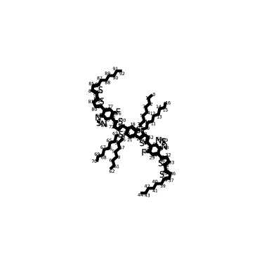 CCCCCCCC[Si]1(CCCCCCCC)c2cc3c(cc2-c2sc(-c4c(F)cc(-c5ccc(-c6ccc(CCCCCC)s6)s5)c5nsnc45)cc21)[Si](CCCCCCCC)(CCCCCCCC)c1cc(-c2c(F)cc(-c4ccc(-c5ccc(CCCCCC)s5)s4)c4nsnc24)sc1-3